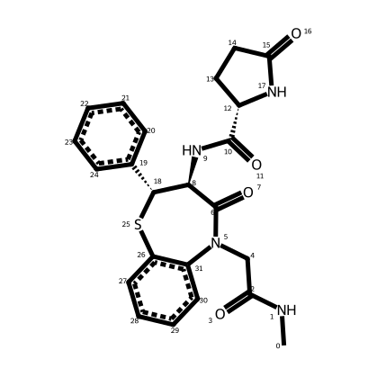 CNC(=O)CN1C(=O)[C@H](NC(=O)[C@@H]2CCC(=O)N2)[C@@H](c2ccccc2)Sc2ccccc21